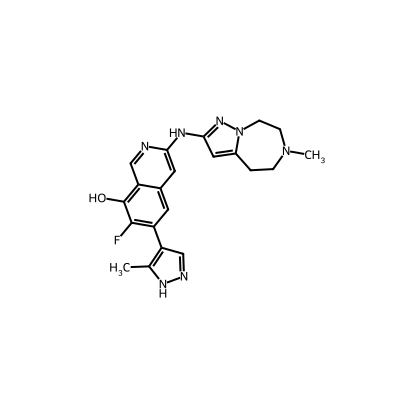 Cc1[nH]ncc1-c1cc2cc(Nc3cc4n(n3)CCN(C)CC4)ncc2c(O)c1F